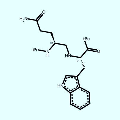 CC(C)N[C@@H](CCC(N)=O)CN[C@@H](Cc1c[nH]c2ccccc12)C(=O)C(C)(C)C